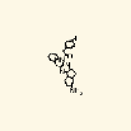 Nc1ccc2c(c1)CCc1nc(NC(=O)Cc3ccc(I)cc3)c(Cc3ccccc3)nc1-2